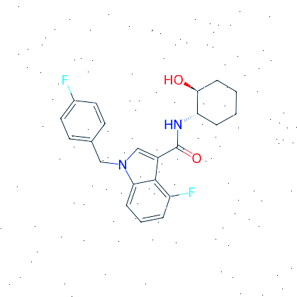 O=C(N[C@H]1CCCC[C@@H]1O)c1cn(Cc2ccc(F)cc2)c2cccc(F)c12